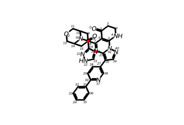 O=C1CCNc2c1c(C1CC3COCC(C1)N3C(=O)c1nc[nH]n1)nc1c(-c3ccc(-c4ccccc4)nc3)cnn21